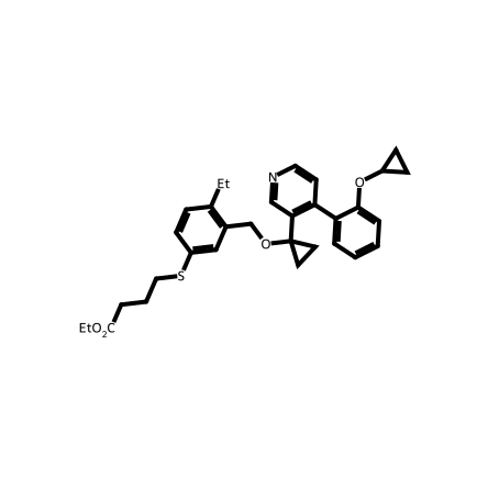 CCOC(=O)CCCSc1ccc(CC)c(COC2(c3cnccc3-c3ccccc3OC3CC3)CC2)c1